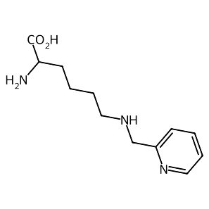 NC(CCCCNCc1ccccn1)C(=O)O